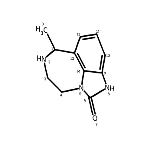 CC1NCCn2c(=O)[nH]c3cccc1c32